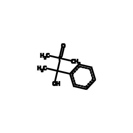 CC(O)(c1ccccc1)P(C)(C)=O